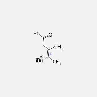 CCC(=O)C/C(C)=C(\[C@@H](C)CC)C(F)(F)F